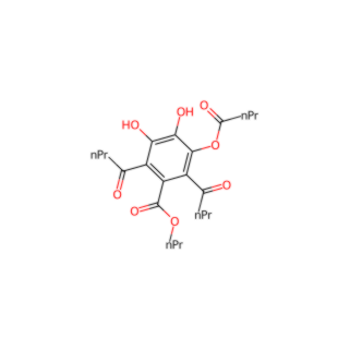 CCCOC(=O)c1c(C(=O)CCC)c(O)c(O)c(OC(=O)CCC)c1C(=O)CCC